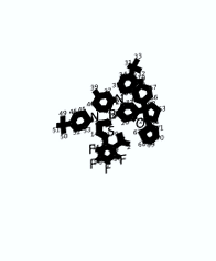 C=C(C)c1c(F)c(F)c(F)c(F)c1-c1cc2c(s1)B1c3cc4c(cc3N(c3ccc(C(C)(C)C)cc3)c3cc(C)cc(c31)N2c1ccc(C(C)(C)C)cc1)C1(C2=CCC(C)C=C2)CCCC1(c1ccccc1)O4